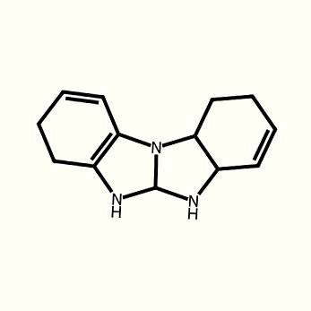 C1=CC2=C(CC1)NC1NC3C=CCCC3N21